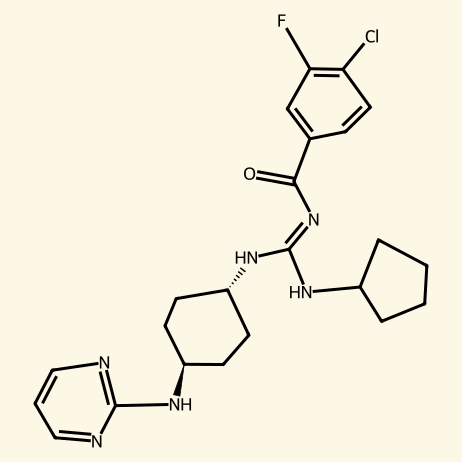 O=C(/N=C(/NC1CCCC1)N[C@H]1CC[C@H](Nc2ncccn2)CC1)c1ccc(Cl)c(F)c1